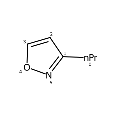 CCCc1ccon1